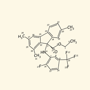 CCOC(=O)C1(Nc2cc(C(F)(F)F)ccc2F)c2cc(C)ccc2-c2cc(C)cc(C)c21